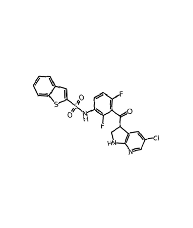 O=C(c1c(F)ccc(NS(=O)(=O)c2cc3ccccc3s2)c1F)C1CNc2ncc(Cl)cc21